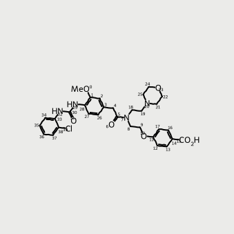 COc1cc(CC(=O)N(CCOc2ccc(C(=O)O)cc2)CCN2CCOCC2)ccc1NC(=O)Nc1ccccc1Cl